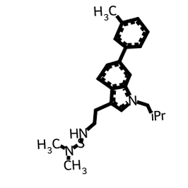 Cc1cccc(-c2ccc3c(CCNSN(C)C)cn(CC(C)C)c3c2)c1